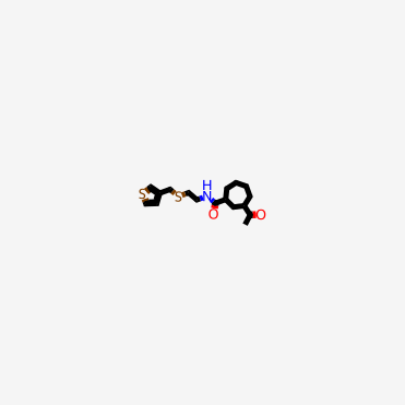 CC(=O)C1CCCCC(C(=O)NCCSCc2ccsc2)C1